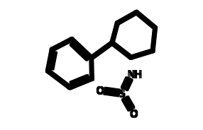 N=S(=O)=O.c1ccc(C2CCCCC2)cc1